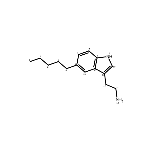 CCCCCc1ccc2[nH]cc(CCN)c2c1